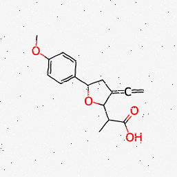 C=C=C1CC(c2ccc(OC)cc2)OC1C(C)C(=O)O